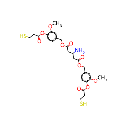 COc1cc(COC(=O)CC(N)CC(=O)OCc2ccc(OC(=O)CCS)c(OC)c2)ccc1OC(=O)CCS